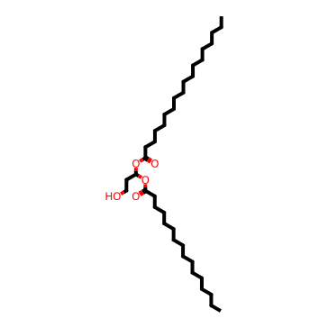 CCCCCCCCCCCCCCCCCC(=O)OC(CCO)OC(=O)CCCCCCCCCCCCCCC